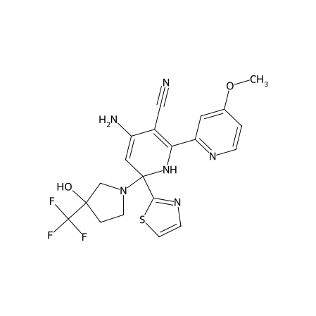 COc1ccnc(C2=C(C#N)C(N)=CC(c3nccs3)(N3CCC(O)(C(F)(F)F)C3)N2)c1